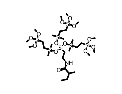 CCC(C)C(=O)NCC[Si](O[Si](C)(C)CC[Si](OC)(OC)OC)(O[Si](C)(C)CC[Si](OC)(OC)OC)O[Si](C)(C)CC[Si](OC)(OC)OC